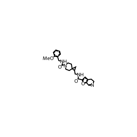 COc1ccccc1CNC(=O)N1CCC2(CC1)CC2CNC(=O)c1cc2c(o1)C=NCC2